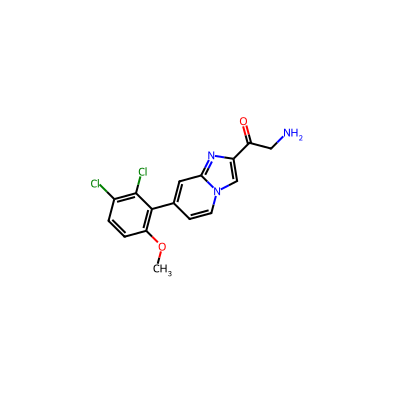 COc1ccc(Cl)c(Cl)c1-c1ccn2cc(C(=O)CN)nc2c1